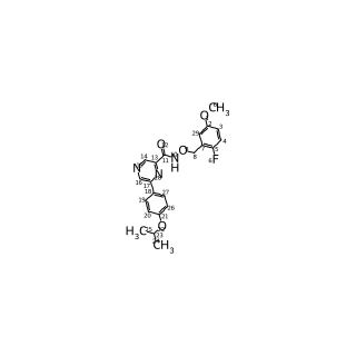 COc1ccc(F)c(CONC(=O)c2cncc(-c3ccc(OC(C)C)cc3)n2)c1